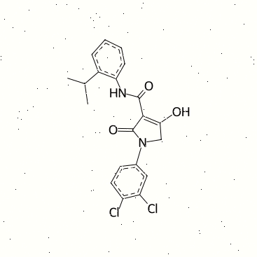 CC(C)c1ccccc1NC(=O)C1=C(O)CN(c2ccc(Cl)c(Cl)c2)C1=O